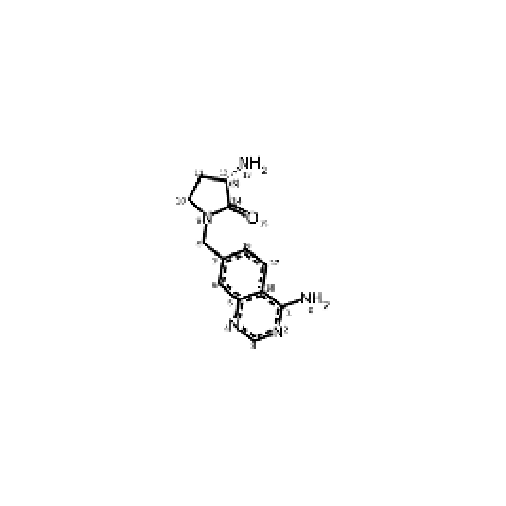 Nc1ncnc2cc(CN3CC[C@H](N)C3=O)ccc12